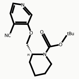 CC(C)(C)OC(=O)N1CCCC[C@@H]1COc1cnccc1C#N